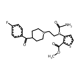 COC(=O)c1sccc1N(CCN1CCC(C(=O)c2ccc(F)cc2)CC1)C(N)=O